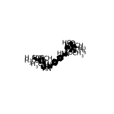 CC(C)[C@H](C(=O)N1CCC[C@H]1c1ncc(-c2ccc(-c3ccc(-c4c[nH]c([C@@H]5CCCN5C(=O)[C@H](C(C)C)N(C)C(=O)OC(C)(C)C)n4)cc3)cc2)[nH]1)C(NC(=O)O)C(C)(C)C